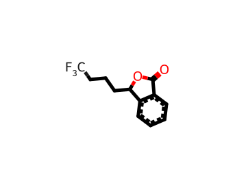 O=C1OC(CCCC(F)(F)F)c2ccccc21